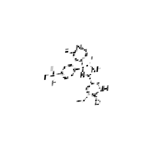 CCc1cc(C2=N[C@](c3ccc(C(F)(F)F)cc3)(c3ccnc(F)c3)[C@H](C)N2)c[nH]c1=O